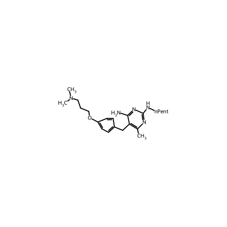 CCCCCNc1nc(C)c(Cc2ccc(OCCCN(C)C)cc2)c(N)n1